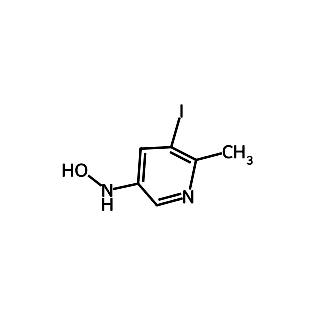 Cc1ncc(NO)cc1I